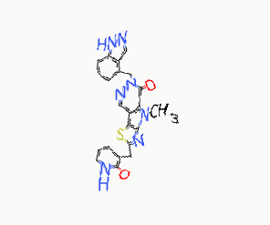 Cn1c2nc(Cc3ccc[nH]c3=O)sc2c2cnn(Cc3cccc4[nH]ncc34)c(=O)c21